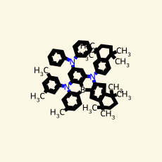 Cc1cc(C)cc(N2c3cc(C)ccc3B3c4cc5c(cc4N(c4ccc6c(c4)C(C)(C)CCC6(C)C)c4cc(N(c6ccccc6)c6ccccc6)cc2c43)C(C)(C)CCC5(C)C)c1